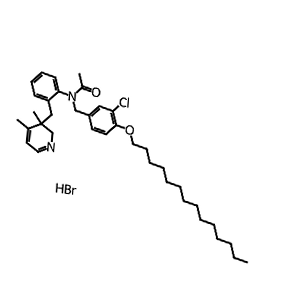 Br.CCCCCCCCCCCCCCOc1ccc(CN(C(C)=O)c2ccccc2CC2(C)CN=CC=C2C)cc1Cl